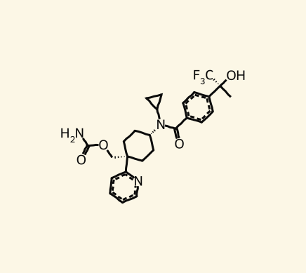 C[C@](O)(c1ccc(C(=O)N(C2CC2)[C@H]2CC[C@](COC(N)=O)(c3ccccn3)CC2)cc1)C(F)(F)F